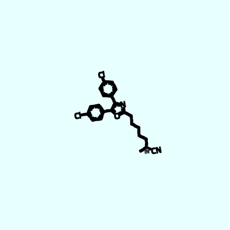 C[C@H](C#N)CCCCCc1nc(-c2ccc(Cl)cc2)c(-c2ccc(Cl)cc2)o1